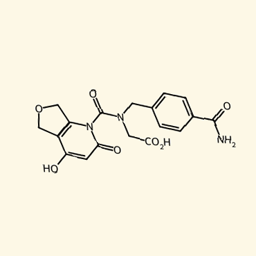 NC(=O)c1ccc(CN(CC(=O)O)C(=O)n2c3c(c(O)cc2=O)COC3)cc1